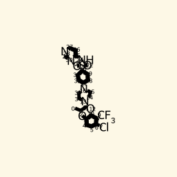 CC(Oc1ccc(Cl)c(C(F)(F)F)c1)C(=O)N1CCN(c2ccc(S(=O)(=O)Nc3ccncn3)cc2)CC1